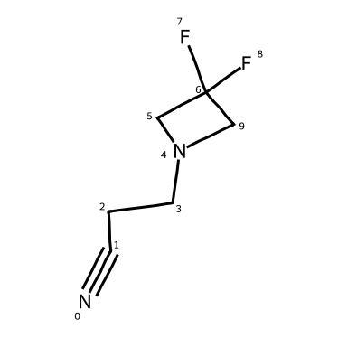 N#CCCN1CC(F)(F)C1